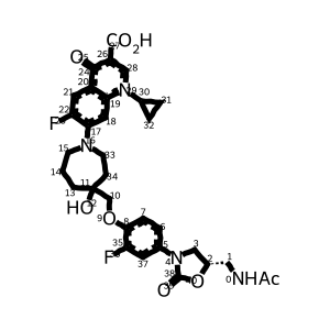 CC(=O)NC[C@H]1CN(c2ccc(OCC3(O)CCCN(c4cc5c(cc4F)c(=O)c(C(=O)O)cn5C4CC4)CC3)c(F)c2)C(=O)O1